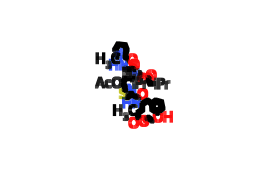 CCC(C)C(NC(=O)C1CCCCN1C)C(=O)N(COC(=O)CC(C)C)C(CC(OC(C)=O)c1nc(C(=O)NC(Cc2ccccc2)CC(C)C(=O)OCCO)cs1)C(C)C